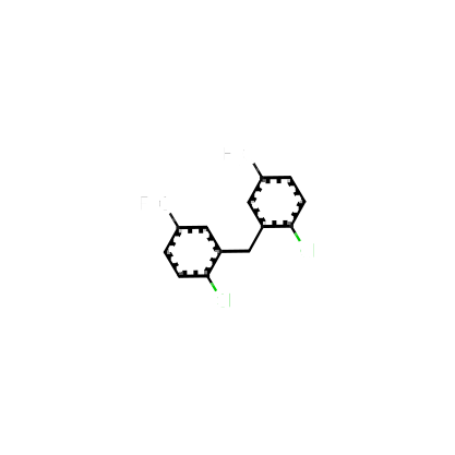 FC(F)(F)c1ccc(Cl)c(Cc2cc(C(F)(F)F)ccc2Cl)c1